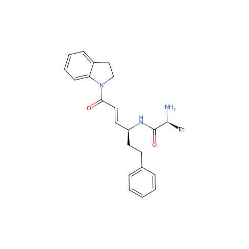 CC[C@H](N)C(=O)N[C@H](/C=C/C(=O)N1CCc2ccccc21)CCc1ccccc1